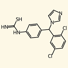 N=C(S)Nc1ccc(C(c2cc(Cl)ccc2Cl)n2ccnc2)cc1